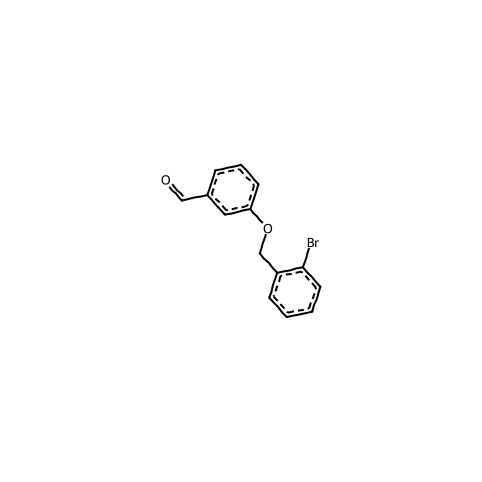 O=Cc1cccc(OCc2ccccc2Br)c1